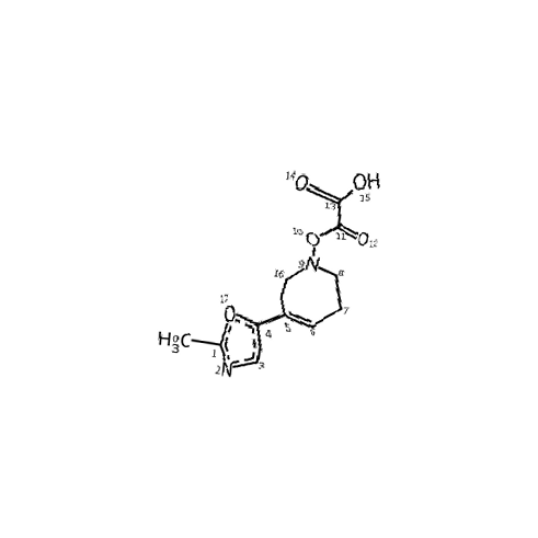 Cc1ncc(C2=CCCN(OC(=O)C(=O)O)C2)o1